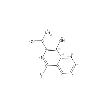 NC(=O)c1nc(Cl)c2cccnc2c1O